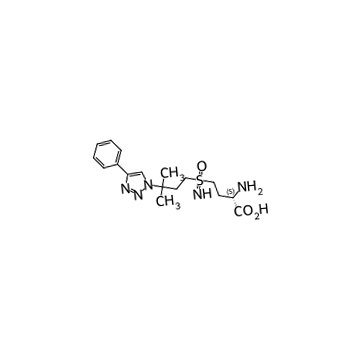 CC(C)(CCS(=N)(=O)CC[C@H](N)C(=O)O)n1cc(-c2ccccc2)nn1